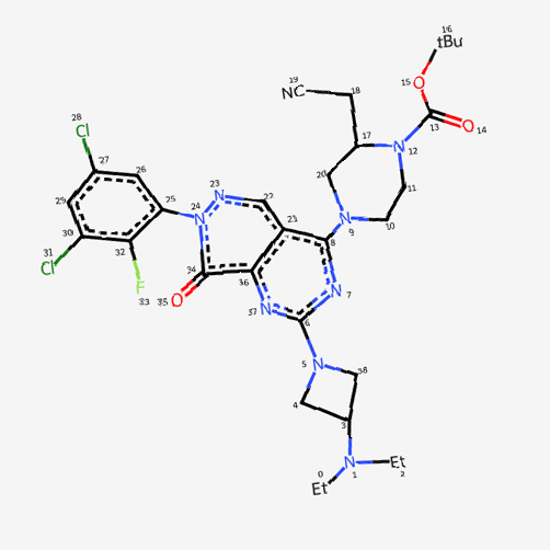 CCN(CC)C1CN(c2nc(N3CCN(C(=O)OC(C)(C)C)C(CC#N)C3)c3cnn(-c4cc(Cl)cc(Cl)c4F)c(=O)c3n2)C1